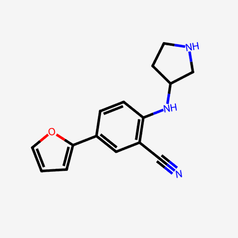 N#Cc1cc(-c2ccco2)ccc1NC1CCNC1